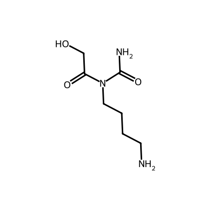 NCCCCN(C(N)=O)C(=O)CO